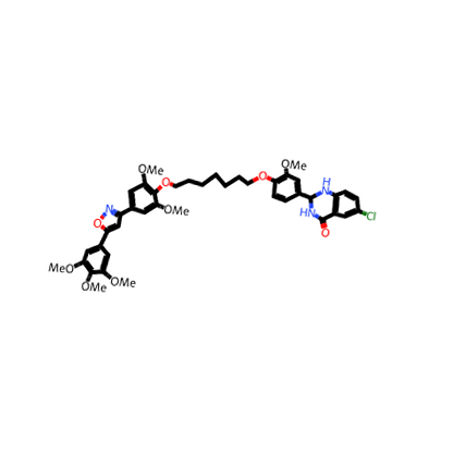 COc1cc(C2NC(=O)c3cc(Cl)ccc3N2)ccc1OCCCCCCCOc1c(OC)cc(-c2cc(-c3cc(OC)c(OC)c(OC)c3)on2)cc1OC